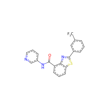 O=C(Nc1cccnc1)c1cccc2sc(-c3cccc(C(F)(F)F)c3)nc12